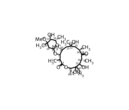 CC[C@H]1OC(=O)C(C)[C@@H](OC2CC(C)(OC)[C@@H](O)[C@H](C)O2)[C@H](C)C[C@](C)(O)C[C@@H](C)C(=O)[C@H](C)C(O)[C@]1(C)O